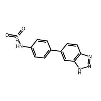 O=[SH](=O)Nc1ccc(-c2ccc3nn[nH]c3c2)cc1